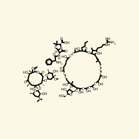 CC1(C)S[C@@H]2[C@H](NC(=O)[C@H](N)c3ccccc3)C(=O)N2[C@H]1C(=O)O.CCCCC1C(=O)OC(C(C)C(O)CCCNC(=N)N)C(C)/C=C(\C)CCCCC(O)CC(O)CC(O)CC(O)CC(O)C(O[C@H]2O[C@H](CO)[C@@H](O)[C@@H]2O)/C=C(\C)C(O)CCCC(O)CCCC(O)CCC(C)C1O.CC[C@H]1OC(=O)[C@H](C)[C@@H](O[C@H]2C[C@@](C)(OC)[C@@H](O)[C@H](C)O2)[C@H](C)[C@@H](O[C@@H]2O[C@H](C)C[C@H](N(C)C)[C@H]2O)[C@](C)(O)C[C@@H](C)C(=O)[C@H](C)[C@@H](O)[C@]1(C)O